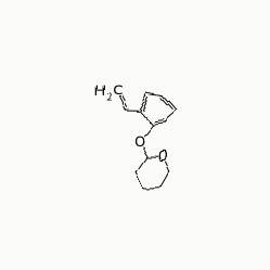 C=Cc1ccccc1OC1CCCCO1